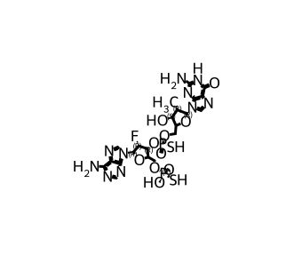 C[C@@H]1[C@H](O)C(COP(=O)(S)O[C@@H]2C(CO[P@@](=O)(O)S)O[C@@H](n3cnc4c(N)ncnc43)[C@@H]2F)O[C@H]1n1cnc2c(=O)[nH]c(N)nc21